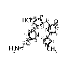 Cl.Cn1cc(-c2ccc(=O)n(Cc3cccc(-c4ncc(OCCN)cn4)c3)n2)cn1